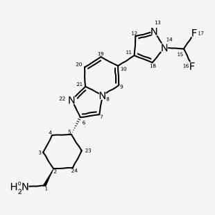 NC[C@H]1CC[C@H](c2cn3cc(-c4cnn(C(F)F)c4)ccc3n2)CC1